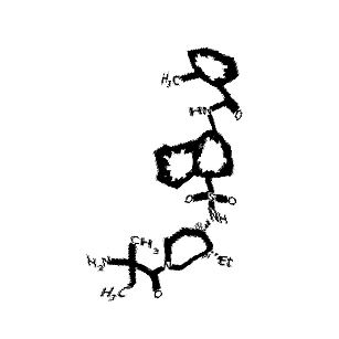 CC[C@@H]1CN(C(=O)C(C)(C)N)CC[C@@H]1NS(=O)(=O)c1ccc(NC(=O)c2ccccc2C)c2ccccc12